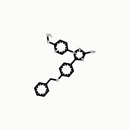 COc1ccc(-n2nc(O)nc2-c2ccc(OCc3ccccc3)cc2)cn1